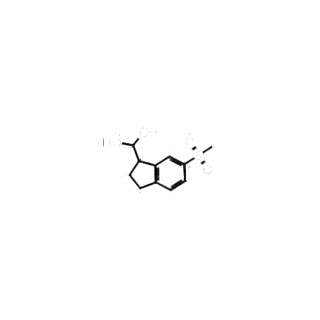 CS(=O)(=O)c1ccc2c(c1)C(C(O)O)CC2